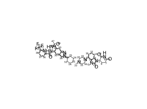 Cn1c(=O)n(C2CCC(=O)NC2=O)c2cccc(N3CCN(C[C@H]4CC[C@H](n5cc6cc(NC(=O)c7cccc(C(F)(F)F)n7)c(S(C)(=N)=O)cc6n5)CC4)CC3)c21